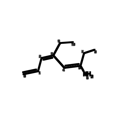 C=C/C=C(\C=C(\N)CC)CC